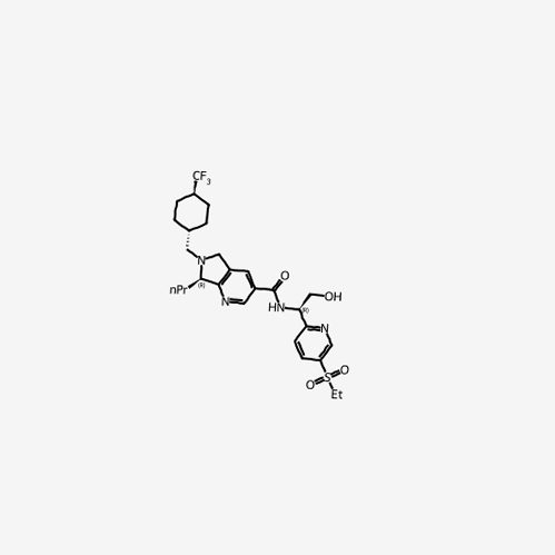 CCC[C@@H]1c2ncc(C(=O)N[C@@H](CO)c3ccc(S(=O)(=O)CC)cn3)cc2CN1C[C@H]1CC[C@H](C(F)(F)F)CC1